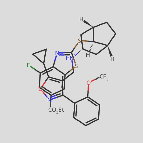 CCOC(=O)c1cc(F)c2nc(S[C@@H]3[C@@H]4CC[C@H]3C[C@@H](NCc3c(-c5ccccc5OC(F)(F)F)noc3C3CC3)C4)sc2c1